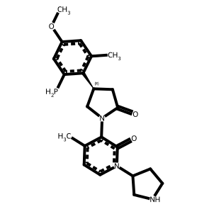 COc1cc(C)c([C@H]2CC(=O)N(c3c(C)ccn(C4CCNC4)c3=O)C2)c(P)c1